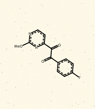 COc1nccc(C(=O)C(=O)c2ccc(F)cc2)n1